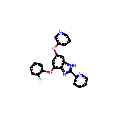 Fc1ccccc1Oc1cc(Oc2cccnc2)cc2[nH]c(-c3ccccn3)nc12